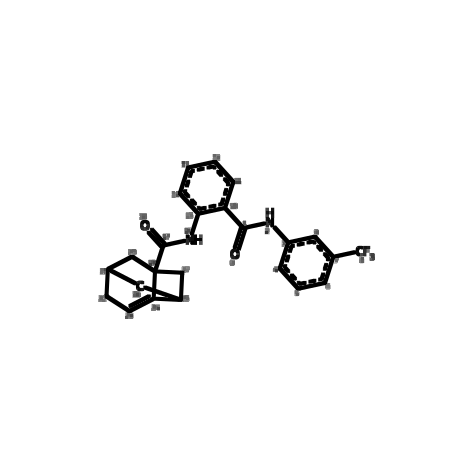 O=C(Nc1cccc(C(F)(F)F)c1)c1ccccc1NC(=O)C12CC3CC=C1C(C3)C2